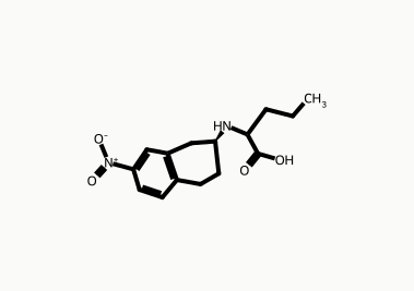 CCCC(N[C@H]1CCc2ccc([N+](=O)[O-])cc2C1)C(=O)O